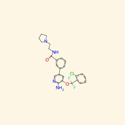 Nc1ncc(-c2cccc(C(=O)NCCN3CCCC3)c2)cc1OC(F)(F)c1ccccc1Cl